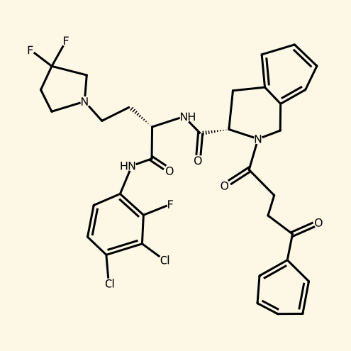 O=C(CCC(=O)N1Cc2ccccc2C[C@H]1C(=O)N[C@@H](CCN1CCC(F)(F)C1)C(=O)Nc1ccc(Cl)c(Cl)c1F)c1ccccc1